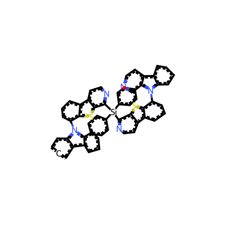 c1ccc([Si](c2ccccc2)(c2nccc3c2sc2c(-n4c5ccccc5c5ccccc54)cccc23)c2nccc3c2sc2c(-n4c5ccccc5c5ccncc54)cccc23)cc1